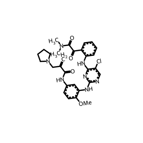 C=C(CN1CCCC1)C(=O)Nc1ccc(OC)c(Nc2ncc(Cl)c(Nc3ccccc3C(=O)C(=O)N(C)C)n2)c1